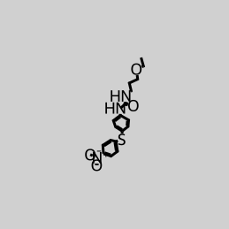 CCOCCCNC(=O)Nc1ccc(Sc2ccc([N+](=O)[O-])cc2)cc1